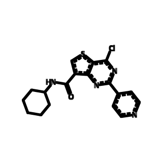 O=C(NC1CCCCC1)c1csc2c(Cl)nc(-c3ccncc3)nc12